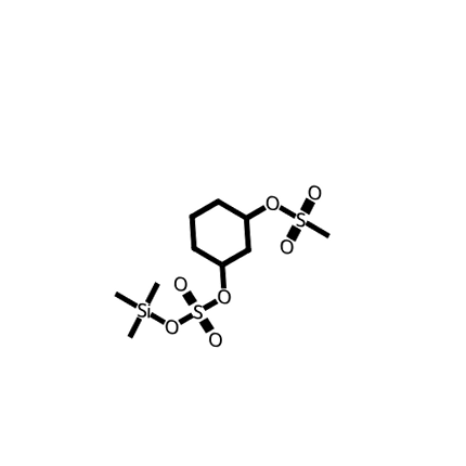 C[Si](C)(C)OS(=O)(=O)OC1CCCC(OS(C)(=O)=O)C1